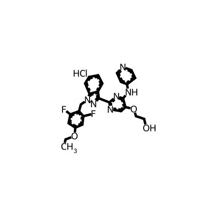 CCOc1cc(F)c(Cn2nc(-c3ncc(OCCO)c(Nc4ccncc4)n3)c3ccccc32)c(F)c1.Cl